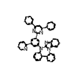 c1ccc(-c2cc(-c3ccccc3)nc(-c3cc(-c4ccccn4)cc(N4c5ccccc5-c5ccccc5-n5c4nc4ccccc45)c3)n2)cc1